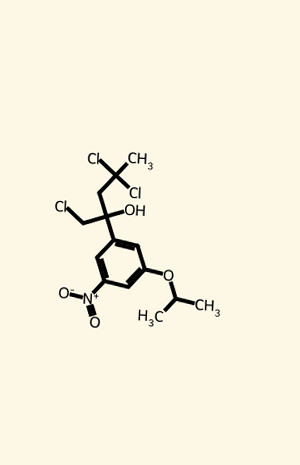 CC(C)Oc1cc([N+](=O)[O-])cc(C(O)(CCl)CC(C)(Cl)Cl)c1